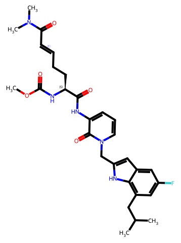 COC(=O)N[C@@H](CC/C=C/C(=O)N(C)C)C(=O)Nc1cccn(Cc2cc3cc(F)cc(CC(C)C)c3[nH]2)c1=O